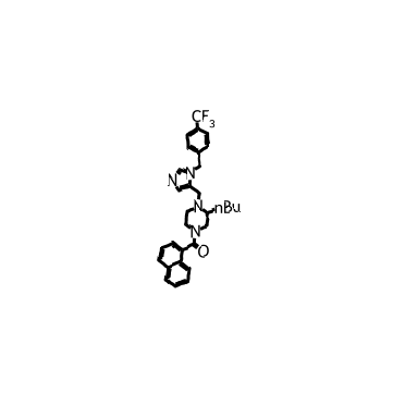 CCCCC1CN(C(=O)c2cccc3ccccc23)CCN1Cc1cncn1Cc1ccc(C(F)(F)F)cc1